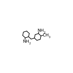 CC1CCC(CC2CCCCC2N)CC1N